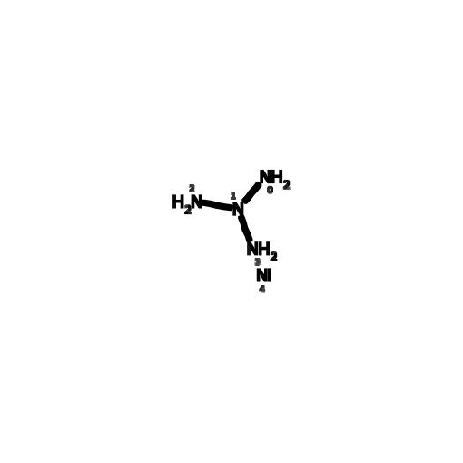 NN(N)N.[Ni]